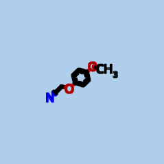 COc1ccc(OCC#N)cc1